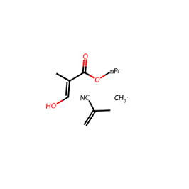 C=C(C)C#N.CCCOC(=O)C(C)=CO.[CH3]